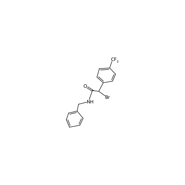 O=C(NCc1ccccc1)C(Br)c1ccc(C(F)(F)F)cc1